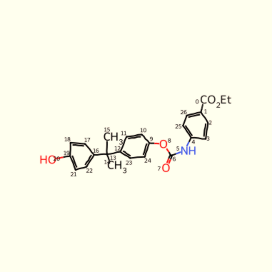 CCOC(=O)c1ccc(NC(=O)Oc2ccc(C(C)(C)c3ccc(O)cc3)cc2)cc1